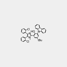 Cn1c(-c2cc(C(C)(C)C)cc(-n3c4ccccc4c4ccccc43)c2O)nc(-c2ccccc2Cl)c1-c1ccccc1Cl